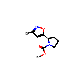 CCc1cc([C@H]2CCCN2C(=O)OC(C)(C)C)on1